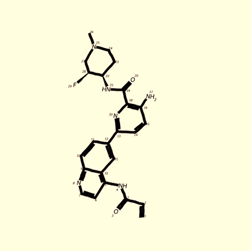 C=CC(=O)Nc1ccnc2ccc(-c3ccc(N)c(C(=O)N[C@@H]4CCN(C)C[C@@H]4F)n3)cc12